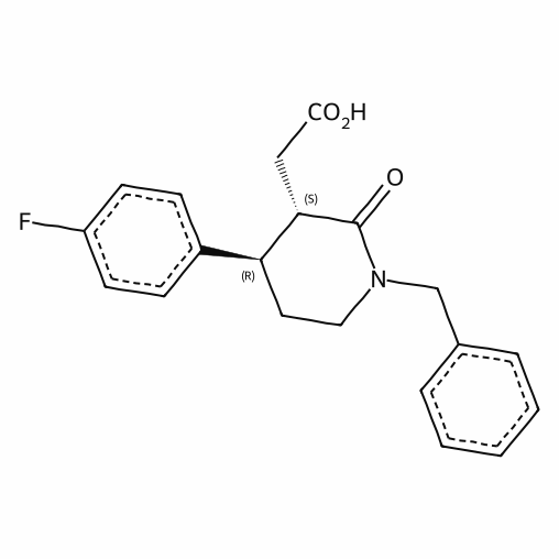 O=C(O)C[C@@H]1C(=O)N(Cc2ccccc2)CC[C@H]1c1ccc(F)cc1